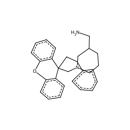 NCC1CCCN(CC2(CCc3ccccc3)c3ccccc3Oc3ccccc32)C1